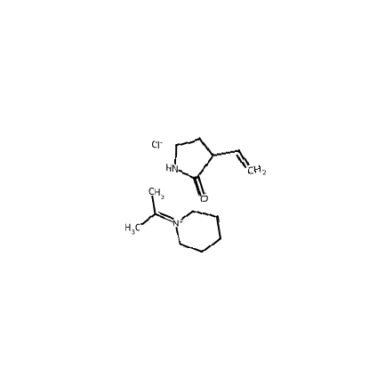 C=CC1CCNC1=O.CC(C)=[N+]1CCCCC1.[Cl-]